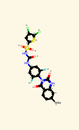 CNc1ccc2c(=O)n(-c3c(F)cc(NC(=O)NS(=O)(=O)c4cc(Cl)c(Cl)s4)cc3F)c(=O)[nH]c2c1